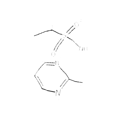 CCS(N)(=O)=O.Cc1ncccn1